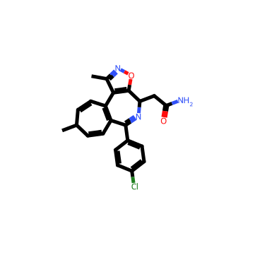 Cc1noc2c1C1=C(C=CC(C)C=C1)C(c1ccc(Cl)cc1)=NC2CC(N)=O